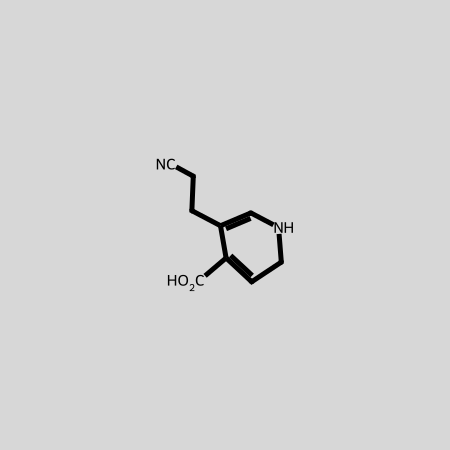 N#CCCC1=CNCC=C1C(=O)O